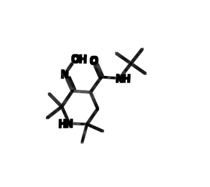 CC(C)(C)NC(=O)C1CC(C)(C)NC(C)(C)C1=NO